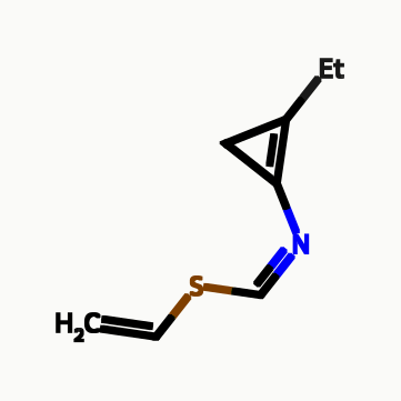 C=CS/C=N\C1=C(CC)C1